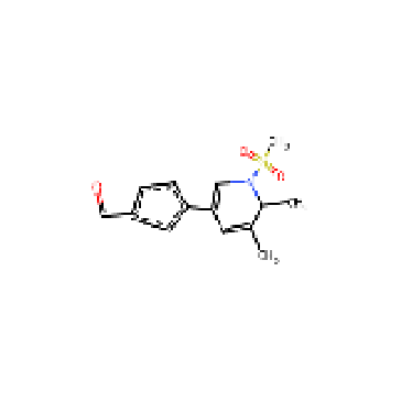 CC1=CC(c2ccc(C=O)cc2)=CN(S(C)(=O)=O)C1C